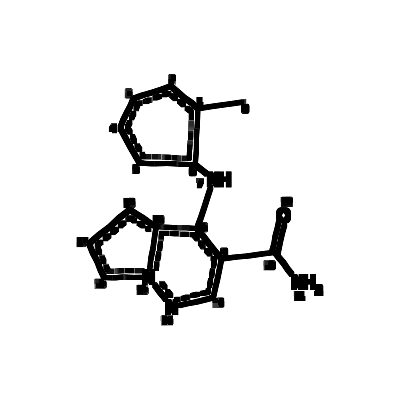 Cc1ccccc1Nc1c(C(N)=O)cnn2cccc12